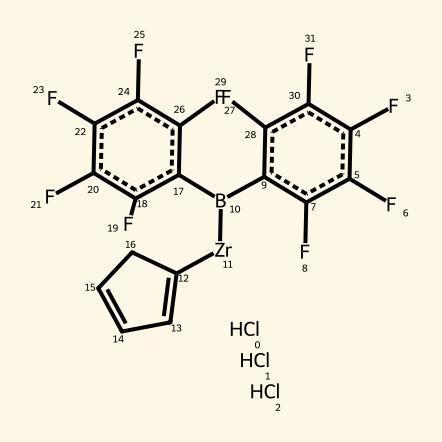 Cl.Cl.Cl.Fc1c(F)c(F)c([B]([Zr][C]2=CC=CC2)c2c(F)c(F)c(F)c(F)c2F)c(F)c1F